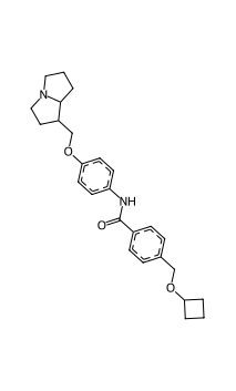 O=C(Nc1ccc(OCC2CCN3CCCC23)cc1)c1ccc(COC2CCC2)cc1